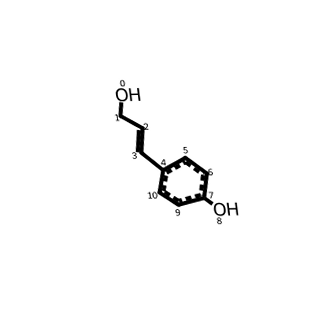 OCC=Cc1ccc(O)cc1